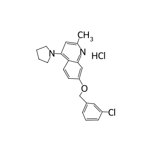 Cc1cc(N2CCCC2)c2ccc(OCc3cccc(Cl)c3)cc2n1.Cl